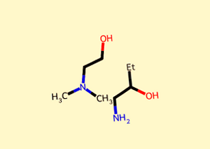 CCC(O)CN.CN(C)CCO